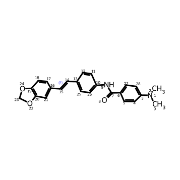 CN(C)c1ccc(C(=O)Nc2ccc(/C=C/c3ccc4c(c3)OCO4)cc2)cc1